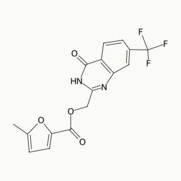 Cc1ccc(C(=O)OCc2nc3cc(C(F)(F)F)ccc3c(=O)[nH]2)o1